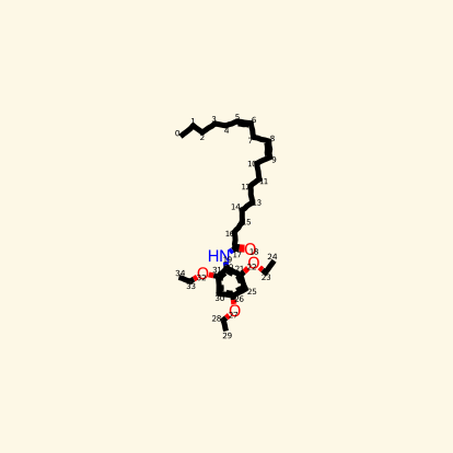 CCCCC/C=C\C/C=C\CCCCCCCC(=O)Nc1c(OCC)cc(OCC)cc1OCC